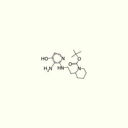 CC(C)(C)OC(=O)N1CCCCC1CCNc1nccc(O)c1N